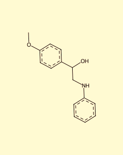 COc1ccc(C(O)CNc2ccccc2)cc1